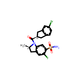 C[C@@H]1Cc2cc(F)c(S(N)(=O)=O)cc2N1C(=O)[C@@H]1Cc2ccc(Br)cc2C1